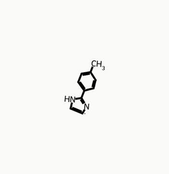 Cc1ccc(-c2n[c]c[nH]2)cc1